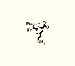 CCC(=O)[C@H](CCCCN)NC(=O)[C@@H](NC(C)C)C(C)C